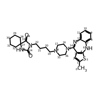 Cc1cc2c(s1)Nc1ccccc1N=C2N1CCN(CCCCN2C(=O)NC3(CCCCC3)C2=O)CC1